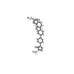 Cc1ncc(-c2ccc(-c3ccc4c(c3)sc3c4ccc4[nH]c(C)nc43)cc2)[nH]1